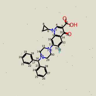 O=C(O)c1cn(C2CC2)c2cc(N3CCN(C(c4ccccc4)c4ccccc4)CC3)c(F)cc2c1=O